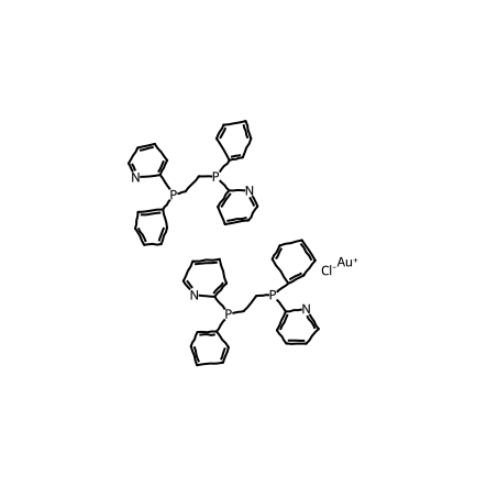 [Au+].[Cl-].c1ccc(P(CCP(c2ccccc2)c2ccccn2)c2ccccn2)cc1.c1ccc(P(CCP(c2ccccc2)c2ccccn2)c2ccccn2)cc1